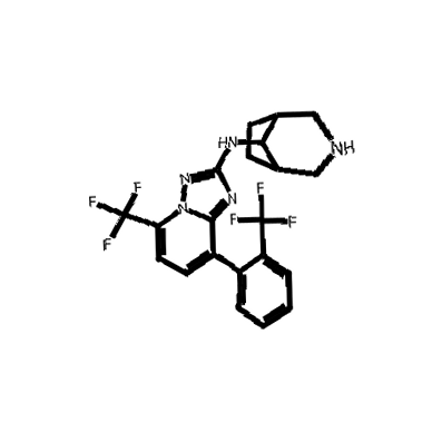 FC(F)(F)c1ccccc1-c1ccc(C(F)(F)F)n2nc(NC3C4CCC3CNC4)nc12